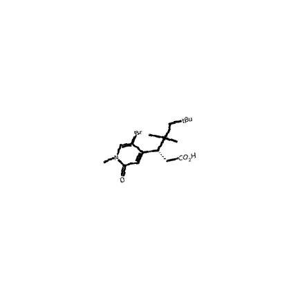 Cn1cc(Br)c([C@@H](CC(=O)O)C(C)(C)CC(C)(C)C)cc1=O